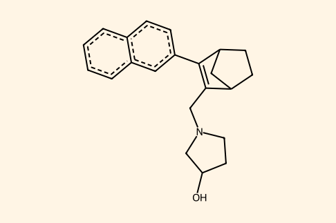 OC1CCN(CC2=C(c3ccc4ccccc4c3)C3CCC2C3)C1